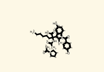 CCCCCCC(NC(C)=O)(C(=O)O)c1c(C)n(C(=O)c2ccc(Cl)cc2)c2ccc(O)cc12.NC(=O)N1CCCC1